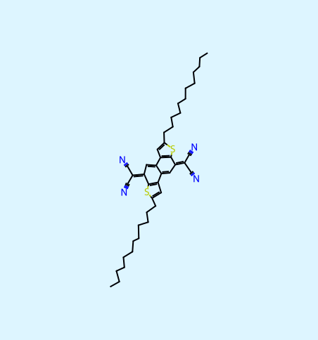 CCCCCCCCCCCCc1cc2c(s1)c(=C(C#N)C#N)cc1c3cc(CCCCCCCCCCCC)sc3c(=C(C#N)C#N)cc21